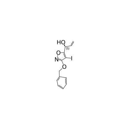 C=C[C@H](O)c1onc(OCc2ccccc2)c1I